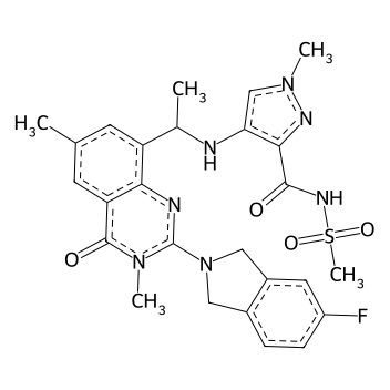 Cc1cc(C(C)Nc2cn(C)nc2C(=O)NS(C)(=O)=O)c2nc(N3Cc4ccc(F)cc4C3)n(C)c(=O)c2c1